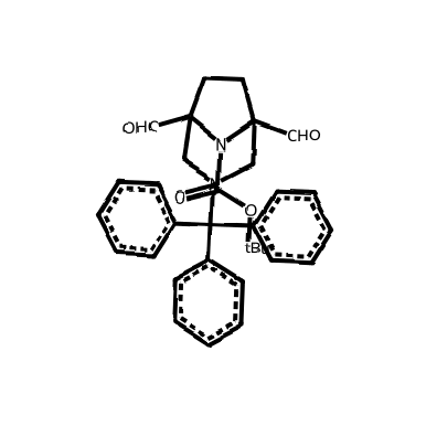 CC(C)(C)OC(=O)N1C2(C=O)CCC1(C=O)CN(C(c1ccccc1)(c1ccccc1)c1ccccc1)C2